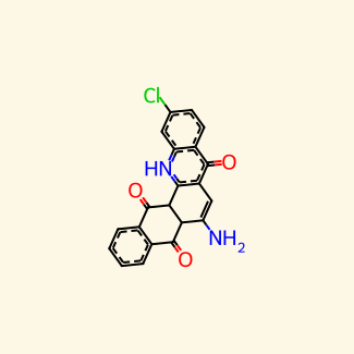 NC1=Cc2c([nH]c3cc(Cl)ccc3c2=O)C2C(=O)c3ccccc3C(=O)C12